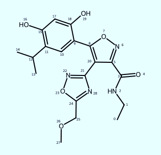 CCNC(=O)c1noc(-c2cc(C(C)C)c(O)cc2O)c1-c1noc(COC)n1